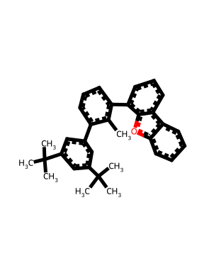 Cc1c(-c2cc(C(C)(C)C)cc(C(C)(C)C)c2)cccc1-c1cccc2c1oc1ccccc12